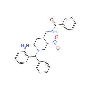 NC1CC(CNC(=O)c2ccccc2)C([N+](=O)[O-])CN1C(c1ccccc1)c1ccccc1